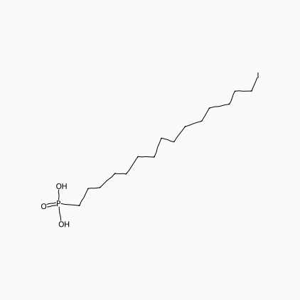 O=P(O)(O)CCCCCCCCCCCCCCCI